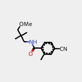 COCC(C)(C)CNC(=O)c1ccc(C#N)cc1C